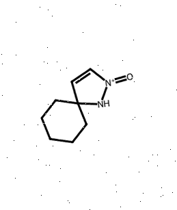 O=[N+]1C=CC2(CCCCC2)N1